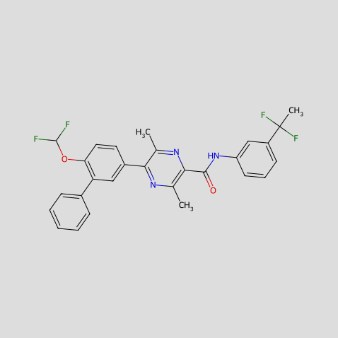 Cc1nc(-c2ccc(OC(F)F)c(-c3ccccc3)c2)c(C)nc1C(=O)Nc1cccc(C(C)(F)F)c1